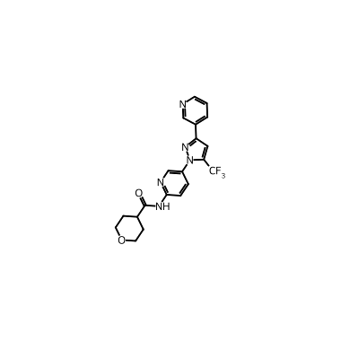 O=C(Nc1ccc(-n2nc(-c3cccnc3)cc2C(F)(F)F)cn1)C1CCOCC1